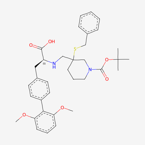 COc1cccc(OC)c1-c1ccc(C[C@H](NCC2(SCc3ccccc3)CCCN(C(=O)OC(C)(C)C)C2)C(=O)O)cc1